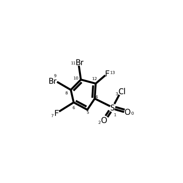 O=S(=O)(Cl)c1cc(F)c(Br)c(Br)c1F